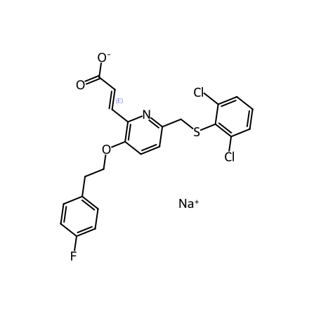 O=C([O-])/C=C/c1nc(CSc2c(Cl)cccc2Cl)ccc1OCCc1ccc(F)cc1.[Na+]